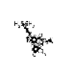 Cc1cc(Cl)ccc1Nc1c(C(=O)NOCC2CC2)cc2c(ncn2CCCCN(C)C)c1F